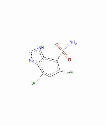 NS(=O)(=O)c1c(F)cc(Br)c2nc[nH]c12